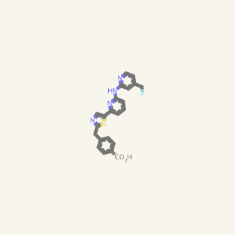 O=C(O)c1ccc(Cc2ncc(-c3cccc(Nc4cc(CF)ccn4)n3)s2)cc1